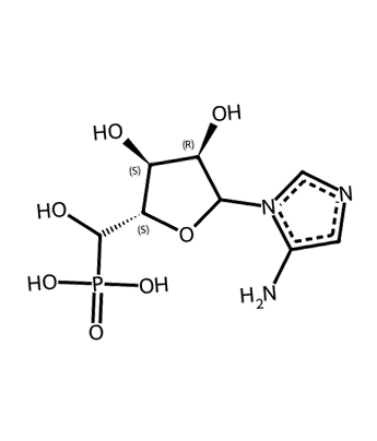 Nc1cncn1C1O[C@H](C(O)P(=O)(O)O)[C@@H](O)[C@H]1O